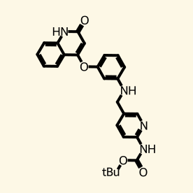 CC(C)(C)OC(=O)Nc1ccc(CNc2cccc(Oc3cc(=O)[nH]c4ccccc34)c2)cn1